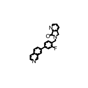 O=C1c2ncccc2CN1Cc1ccc(-c2ccc3ccncc3c2)cc1F